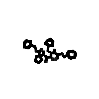 O=C(N[C@H](Cc1ccccc1)[C@H](O)C(=O)NC1(C(=O)OCc2ccccc2)CCCC1)OCc1ccccc1